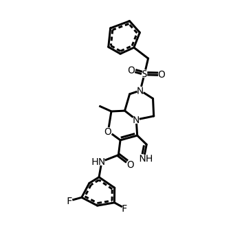 CC1OC(C(=O)Nc2cc(F)cc(F)c2)=C(C=N)N2CCN(S(=O)(=O)Cc3ccccc3)CC12